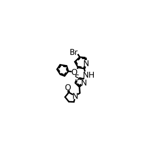 O=C1CCCN1Cc1csc(Nc2ncc(Br)cc2Oc2ccccc2)n1